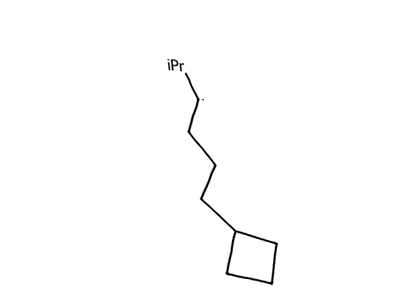 CC(C)[CH]CCCC1CCC1